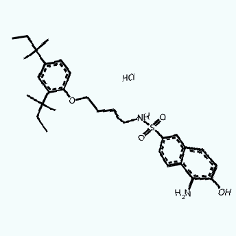 CCC(C)(C)c1ccc(OCCCCNS(=O)(=O)c2ccc3c(N)c(O)ccc3c2)c(C(C)(C)CC)c1.Cl